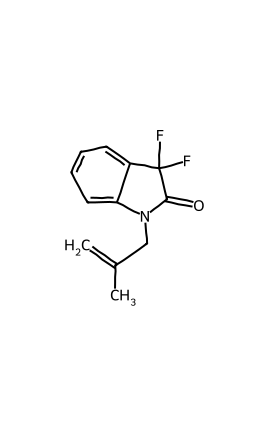 C=C(C)CN1C(=O)C(F)(F)c2ccccc21